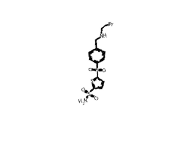 CC(C)CNCc1ccc(S(=O)(=O)c2ccc(S(N)(=O)=O)s2)cc1